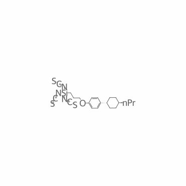 CCC[C@H]1CC[C@H](c2ccc(OCCC[Si](N=C=S)(N=C=S)N=C=S)cc2)CC1